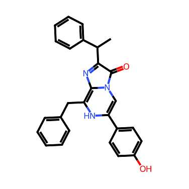 CC(c1ccccc1)c1nc2c(Cc3ccccc3)[nH]c(-c3ccc(O)cc3)cn-2c1=O